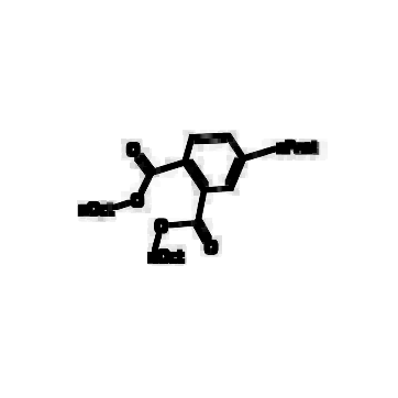 CCCCCCCCOC(=O)c1ccc(CCCCC)cc1C(=O)OCCCCCCCC